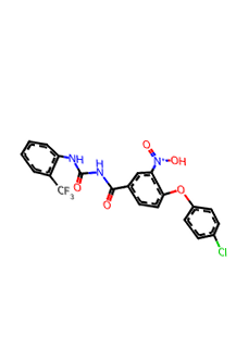 O=C(NC(=O)c1ccc(Oc2ccc(Cl)cc2)c([N+](=O)O)c1)Nc1ccccc1C(F)(F)F